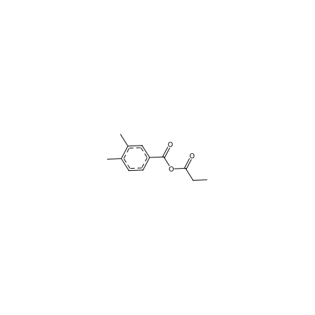 CCC(=O)OC(=O)c1ccc(C)c(C)c1